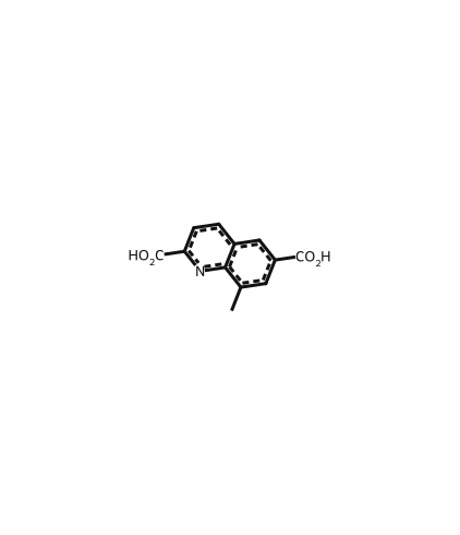 Cc1cc(C(=O)O)cc2ccc(C(=O)O)nc12